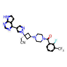 N#CC[C@]1(n2cc(-c3ncnc4[nH]ccc34)cn2)C[C@@H](N2CCN(C(=O)c3cccc(C(F)(F)F)c3F)CC2)C1